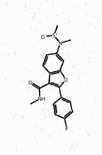 CNC(=O)c1c(-c2ccc(F)cc2)oc2cc(N(C)[S+](C)[O-])ccc12